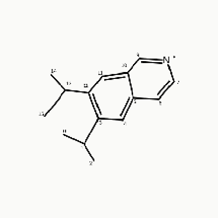 CC(C)c1cc2ccncc2cc1C(C)C